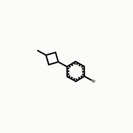 CC1CC(c2ccc(Br)cc2)C1